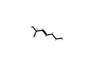 CCC/C=C/C(C)C